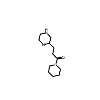 O=C(CCC1CNCC[N]1)N1CCCCC1